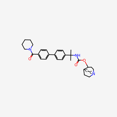 CC(C)(NC(=O)OC1CCN2CCC1CC2)c1ccc(-c2ccc(C(=O)N3CCCCC3)cc2)cc1